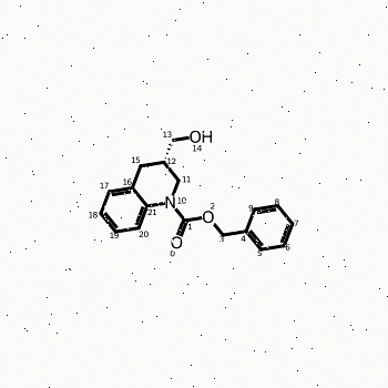 O=C(OCc1ccccc1)N1C[C@@H](CO)Cc2ccccc21